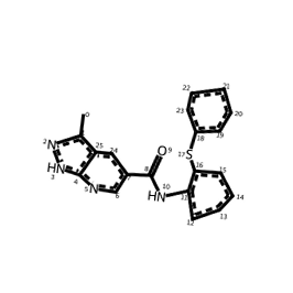 Cc1n[nH]c2ncc(C(=O)Nc3ccccc3Sc3ccccc3)cc12